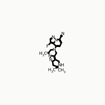 C[C@@H]1CN(c2ccc(C#N)n3ncc(F)c23)Cc2c3c(nn21)CC(C)(C)NC3